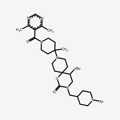 CCCCC1CN(CC2CCN(C(C)=O)CC2)C(=O)OC12CCN(C1(C)CCN(C(=O)c3c(C)ncnc3C)CC1)CC2